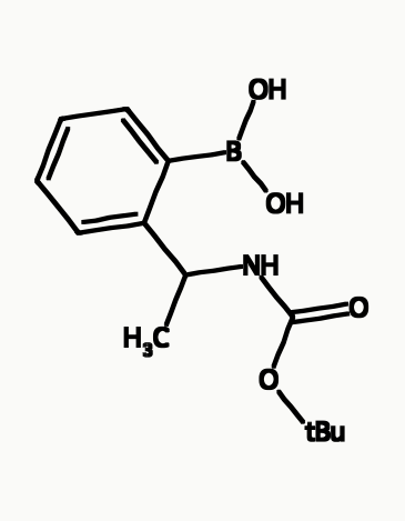 CC(NC(=O)OC(C)(C)C)c1ccccc1B(O)O